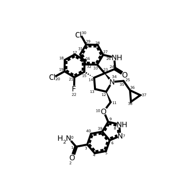 NC(=O)c1ccc2n[nH]c(OC[C@H]3C[C@H](c4cccc(Cl)c4F)[C@]4(C(=O)Nc5cc(Cl)ccc54)N3CC3CC3)c2c1